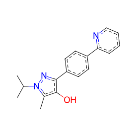 Cc1c(O)c(-c2ccc(-c3ccccn3)cc2)nn1C(C)C